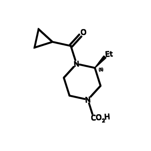 CC[C@H]1CN(C(=O)O)CCN1C(=O)C1CC1